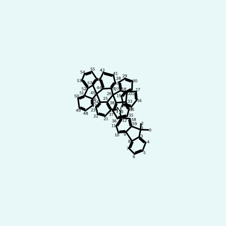 CC1(C)c2ccccc2-c2ccc(N(c3ccccc3)c3cccc4c3C3(c5ccccc5-c5ccccc53)c3ccccc3C43c4ccccc4-c4ccccc43)cc21